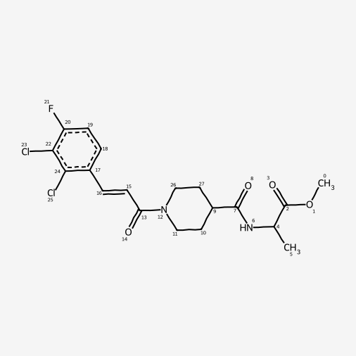 COC(=O)C(C)NC(=O)C1CCN(C(=O)C=Cc2ccc(F)c(Cl)c2Cl)CC1